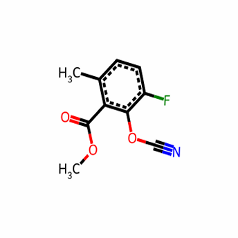 COC(=O)c1c(C)ccc(F)c1OC#N